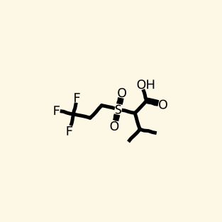 CC(C)C(C(=O)O)S(=O)(=O)CCC(F)(F)F